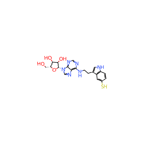 OC[C@H]1O[C@@H](n2cnc3c(NCCc4c[nH]c5ccc(S)cc45)ncnc32)[C@H](O)[C@@H]1O